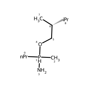 CCC[PH](C)(N)OC[C@H](C)C(C)C